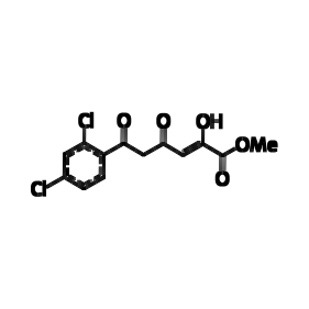 COC(=O)C(O)=CC(=O)CC(=O)c1ccc(Cl)cc1Cl